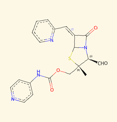 C[C@@]1(COC(=O)Nc2ccncc2)SC2/C(=C\c3ccccn3)C(=O)N2[C@H]1C=O